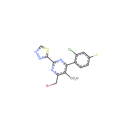 O=C(O)c1c(CBr)nc(-c2nncs2)nc1-c1ccc(F)cc1Cl